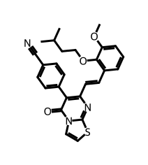 COc1cccc(C=Cc2nc3sccn3c(=O)c2-c2ccc(C#N)cc2)c1OCCC(C)C